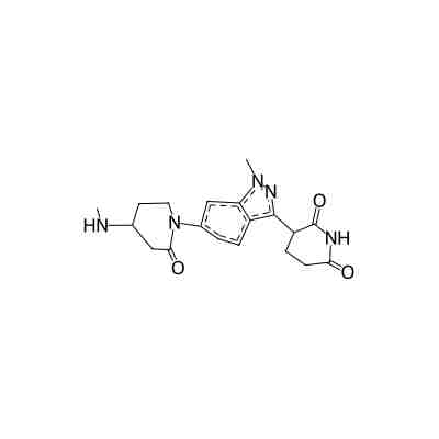 CNC1CCN(c2ccc3c(C4CCC(=O)NC4=O)nn(C)c3c2)C(=O)C1